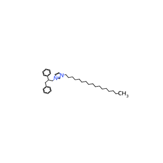 CCCCCCCCCCCCCCCCCn1cc[n+](CC(Cc2ccccc2)c2ccccc2)c1